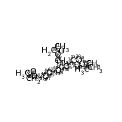 C=CC1(CCCOC(=O)C(=C)C)c2cc(C3=C4C=CC5=CC(C(C)(C)C)=CC6=CC=C(C=C3)C4C65)ccc2-c2ccc(-c3ccc4cc(CCOC(=O)C(=C)C)ccc4c3)cc21